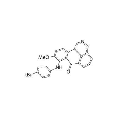 COc1ccc2c(c1Nc1ccc(C(C)(C)C)cc1)C(=O)c1cccc3cncc-2c13